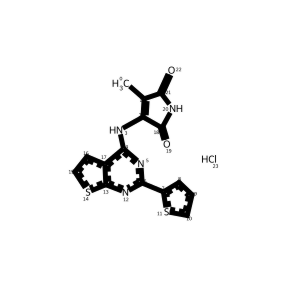 CC1=C(Nc2nc(-c3cccs3)nc3sccc23)C(=O)NC1=O.Cl